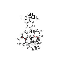 CC(C)(C)c1ccc(N(c2ccccc2-c2cccc3cccc(-c4ccccc4)c23)c2cccc3c2oc2ccccc23)cc1